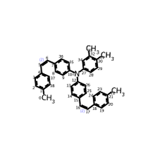 Cc1ccc(/C=C\c2ccc(N(c3ccc(/C=C\c4ccc(C)cc4)cc3)c3ccc(C)c(C)c3)cc2)cc1